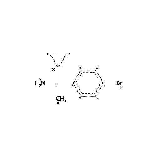 CC(N)(c1ccc(Br)cc1)C1CC1